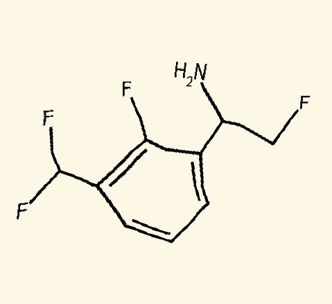 NC(CF)c1cccc(C(F)F)c1F